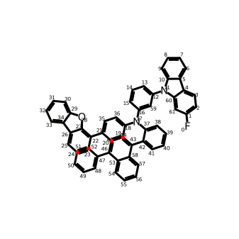 Fc1ccc2c3ccccc3n(-c3cccc(N(c4ccc(-c5cccc6c5oc5ccccc56)cc4)c4ccccc4-c4ccc(-c5ccccc5)c5ccccc45)c3)c2c1